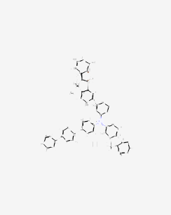 CC1(C)c2ccccc2-c2ccc(N(c3ccc(-c4ccc(-c5ccccc5)cc4)cc3)c3cccc(-c4ccc5c(c4)-c4sc6ccccc6c4C5(C)C)c3)cc21